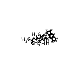 CN=S(=O)(/C=C/CN(C)C)NC(=O)Nc1c2c(cc3c1CCC3)CCC2